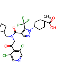 C[C@]1(C(=O)O)CC[C@H](n2ncc(C(=O)N(CC(=O)c3c(Cl)cncc3Cl)CC3CCC3)c2C(F)(F)F)CC1